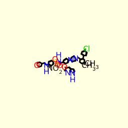 CC1(C)CCC(CN2CCN(c3ccc(C(=O)NS(=O)(=O)c4ccc(NCC5CCOCC5)c([N+](=O)[O-])c4)c(OC4C=c5cc[nH]c5=NC4)c3)CC2)=C(c2ccc(Cl)cc2)C1